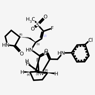 CS(=O)(=O)/C(F)=C\[C@H](C[C@H]1CCNC1=O)NC(=O)[C@@H]1[C@H]2CC[C@H](CC2(F)F)N1C(=O)CNc1cccc(Cl)c1